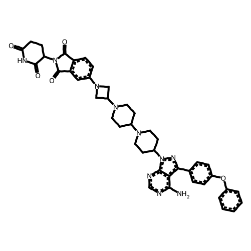 Nc1ncnc2c1c(-c1ccc(Oc3ccccc3)cc1)nn2C1CCN(C2CCN(C3CN(c4ccc5c(c4)C(=O)N(C4CCC(=O)NC4=O)C5=O)C3)CC2)CC1